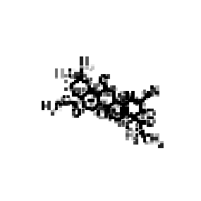 COC(=O)[C@]1(C)C(=O)C(C#N)=C[C@]2(C)C3=CC(=O)[C@@H]4[C@@H]5CC(C)(C)CC[C@]5(C(=O)OC)CC[C@@]4(C)[C@]3(C)CCC12